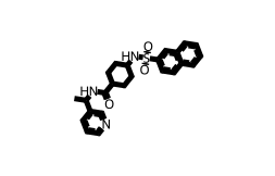 CC(NC(=O)C1CCC(NS(=O)(=O)c2ccc3ccccc3c2)CC1)c1cccnc1